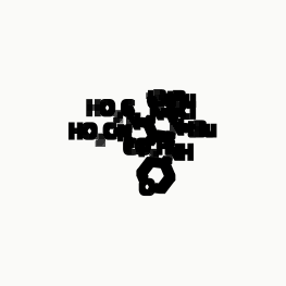 CC(C)(C)N1C(NC2CCOCC2)=C(F)C(N(C(=O)O)N(C(=O)O)C(=O)O)N(C(C)(C)C)C1(Cl)C(C)(C)C